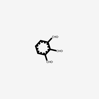 O=[C]c1cccc([C]=O)c1[C]=O